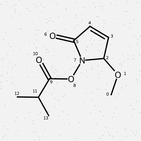 COC1C=CC(=O)N1OC(=O)C(C)C